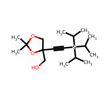 CC(C)[Si](C#CC1(CO)COC(C)(C)O1)(C(C)C)C(C)C